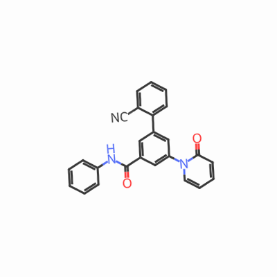 N#Cc1ccccc1-c1cc(C(=O)Nc2ccccc2)cc(-n2ccccc2=O)c1